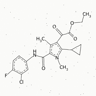 CCOC(=O)C(=O)c1c(C)c(C(=O)Nc2ccc(F)c(Cl)c2)n(C)c1C1CC1